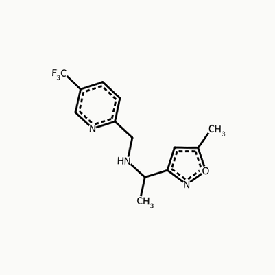 Cc1cc(C(C)NCc2ccc(C(F)(F)F)cn2)no1